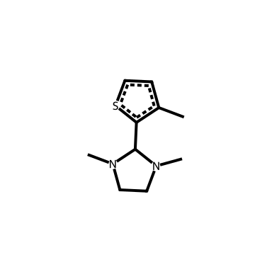 Cc1ccsc1C1N(C)CCN1C